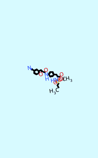 CCCCS(=O)(=O)NC(Cc1ccc(NC(=O)c2cc3cc(C#N)ccc3o2)cc1)C(=O)OC